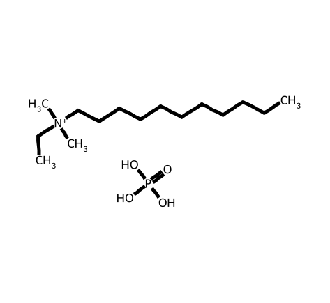 CCCCCCCCCCC[N+](C)(C)CC.O=P(O)(O)O